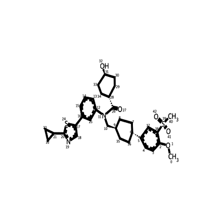 COc1ccc([C@H]2CC[C@H](CN(c3cccc(-c4cnc(C5CC5)s4)c3)C(=O)[C@H]3CC[C@H](O)CC3)CC2)cc1S(C)(=O)=O